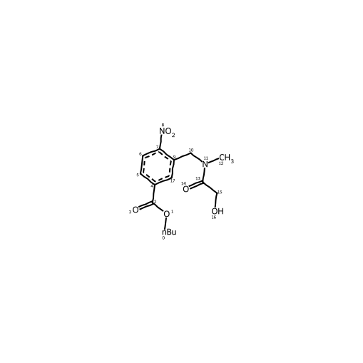 CCCCOC(=O)c1ccc([N+](=O)[O-])c(CN(C)C(=O)CO)c1